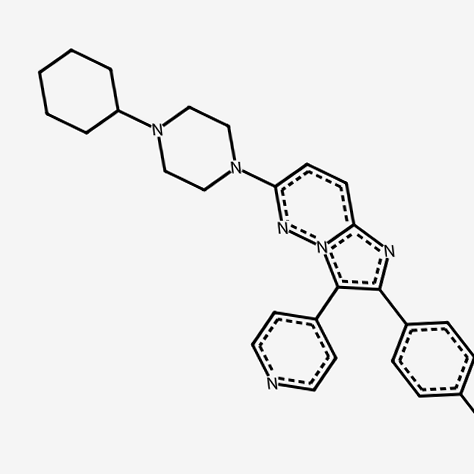 Fc1ccc(-c2nc3ccc(N4CCN(C5CCCCC5)CC4)nn3c2-c2ccncc2)cc1